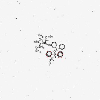 CCCCOC(C)(OCCCC)C(OCCCC)(OCCCC)[SiH2]O[SiH2]O[SiH3].C[Si](C)(C)O[Si](C)(O[Si](O[Si](c1ccccc1)(c1ccccc1)c1ccccc1)(c1ccccc1)c1ccccc1)c1ccccc1